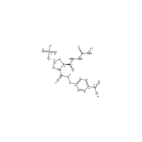 CNC(=S)NNC(=O)[C@@H]1C[C@@H](OS(C)(=O)=O)CN1C(=O)OCc1ccc([N+](=O)[O-])cc1